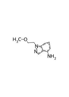 COCCn1ncc2c(N)cccc21